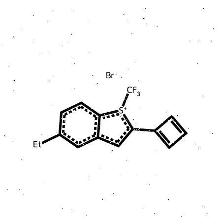 CCc1ccc2c(c1)cc(C1=CC=C1)[s+]2C(F)(F)F.[Br-]